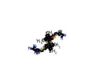 Cc1ccc(C2(c3ccc(C)cc3)c3cc4cc(-c5ccc(-c6ccc(C=C(C#N)C#N)c7nsnc67)s5)sc4cc3-c3sc4c5c(sc4c32)-c2cc3sc(-c4ccc(-c6ccc(C=C(C#N)C#N)c7nsnc67)s4)cc3cc2C5(c2ccc(C)cc2)c2ccc(C)cc2)cc1